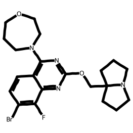 Fc1c(Br)ccc2c(N3CCCOCC3)nc(OCC34CCCN3CCC4)nc12